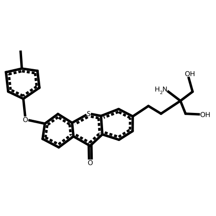 Cc1ccc(Oc2ccc3c(=O)c4ccc(CCC(N)(CO)CO)cc4sc3c2)cc1